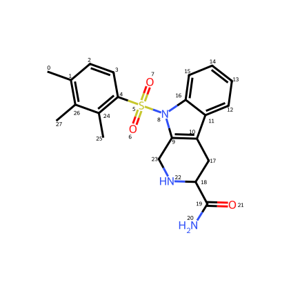 Cc1ccc(S(=O)(=O)n2c3c(c4ccccc42)CC(C(N)=O)NC3)c(C)c1C